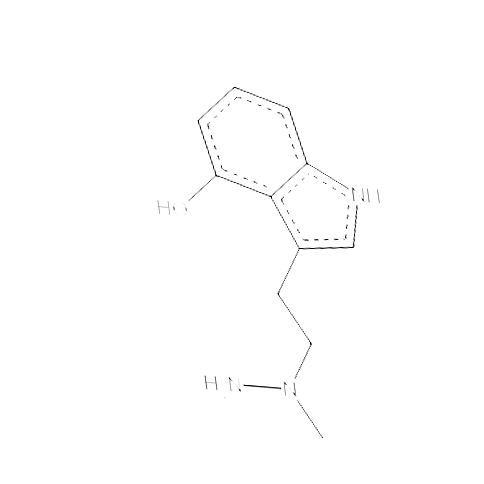 CN(N)CCc1c[nH]c2cccc(O)c12